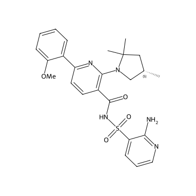 COc1ccccc1-c1ccc(C(=O)NS(=O)(=O)c2cccnc2N)c(N2C[C@@H](C)CC2(C)C)n1